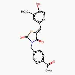 COC(=O)c1ccc(CN2C(=O)S/C(=C\c3ccc(O)c(C(=O)O)c3)C2=O)cc1